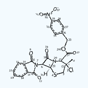 C[C@@]1(Cl)CS[C@H]2C(N3C(=O)c4ccccc4C3=O)C(=O)N2C1C(=O)OCc1ccc([N+](=O)[O-])cc1